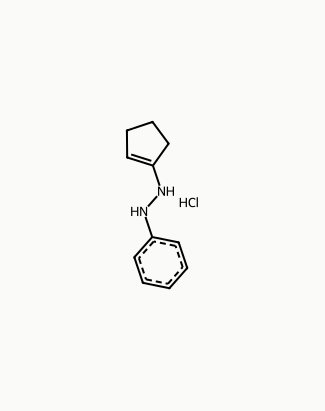 C1=C(NNc2ccccc2)CCC1.Cl